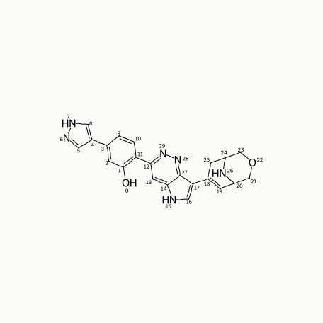 Oc1cc(-c2cn[nH]c2)ccc1-c1cc2[nH]cc(C3=CC4COCC(C3)N4)c2nn1